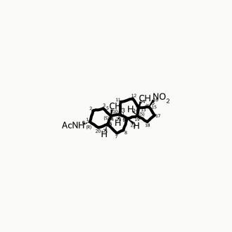 CC(=O)N[C@@H]1CC[C@@]2(C)[C@@H](CC[C@@H]3[C@@H]2CC[C@]2(C)[C@@H]([N+](=O)[O-])CC[C@@H]32)C1